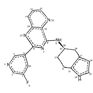 Fc1cncc(-c2nc(N[C@@H]3CCc4[nH]ccc4C3)c3ncccc3n2)c1